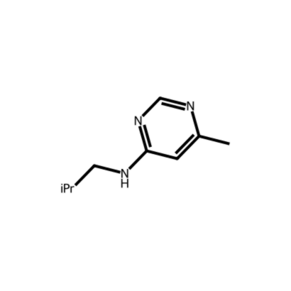 Cc1cc(NCC(C)C)ncn1